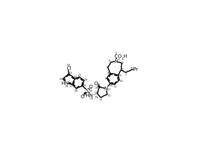 CC(C)CC1CN(C(=O)O)CCc2cc(N3CC[C@H](NS(=O)(=O)c4ccc5c(Cl)c[nH]c5c4)C3=O)ccc21